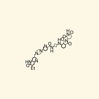 CCc1cc2ncc(CN3CCN(c4ccc(C(=O)NC5CC(Nc6cccc7c6C(=O)N([C@@H]6CCC(=O)NC6=O)C7=O)C5)nc4)CC3)cc2[nH]c1=O